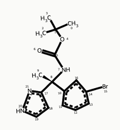 CC(C)(C)OC(=O)N[C@](C)(c1cccc(Br)c1)c1cc[nH]n1